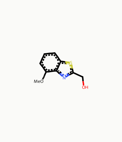 COc1cccc2sc(CO)nc12